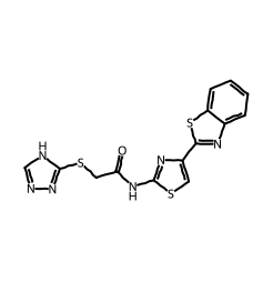 O=C(CSc1nnc[nH]1)Nc1nc(-c2nc3ccccc3s2)cs1